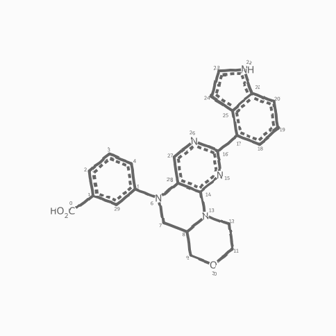 O=C(O)c1cccc(N2CC3COCCN3c3nc(-c4cccc5[nH]ccc45)ncc32)c1